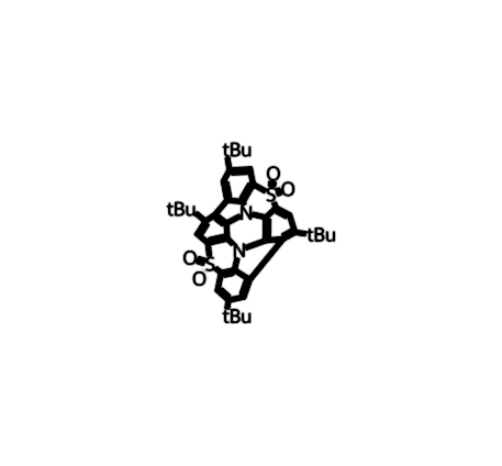 CC(C)(C)c1cc2c3c(c1)c1c(C(C)(C)C)cc4c5c1n3c1c(cc(C(C)(C)C)c3c6cc(C(C)(C)C)cc(c6n5c31)S4(=O)=O)S2(=O)=O